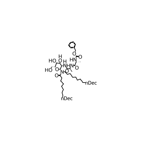 CCCCCCCCCCCCCCCCCCN(C(=O)CCCCCCCCCCCCCCCCC)[C@@H]1O[C@H](CO)[C@@H](O)[C@H](O)[C@H]1NC(=O)[C@H](C)NC(=O)[C@@H](C)NC(=O)OCc1ccccc1